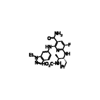 CCn1ncc2ccc(Nc3nc(N[C@H](CC(C)C)[C@H](C)NC(=O)O)c(F)cc3C(N)=O)cc21